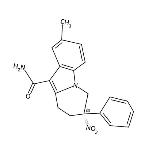 Cc1ccc2c(c1)c(C(N)=O)c1n2C[C@](c2ccccc2)([N+](=O)[O-])CC1